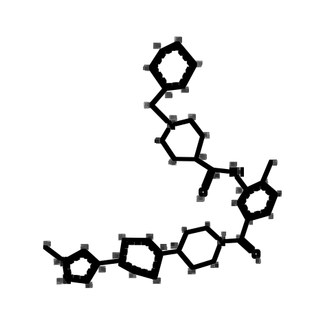 Cc1ccc(C(=O)N2CCC(c3ccc(-c4cnn(C)c4)cc3)CC2)cc1NC(=O)C1CCN(Cc2ccccc2)CC1